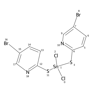 [Cl][Sn]([Cl])([S]c1ccc(Br)cn1)[S]c1ccc(Br)cn1